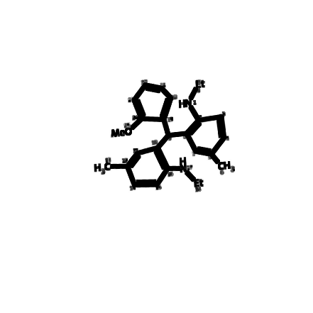 CCNc1ccc(C)cc1C(c1cc(C)ccc1NCC)c1ccccc1OC